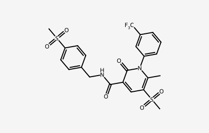 Cc1c(S(C)(=O)=O)cc(C(=O)NCc2ccc(S(C)(=O)=O)cc2)c(=O)n1-c1cccc(C(F)(F)F)c1